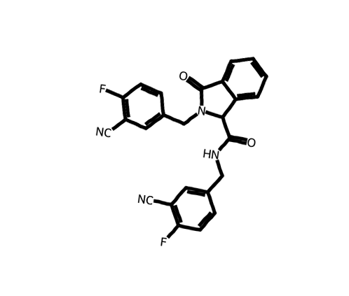 N#Cc1cc(CNC(=O)C2c3ccccc3C(=O)N2Cc2ccc(F)c(C#N)c2)ccc1F